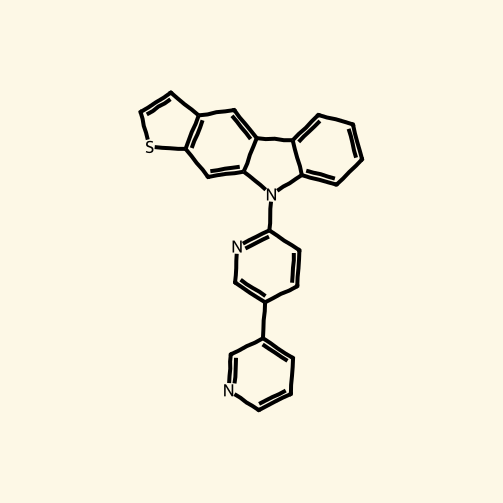 c1cncc(-c2ccc(-n3c4ccccc4c4cc5ccsc5cc43)nc2)c1